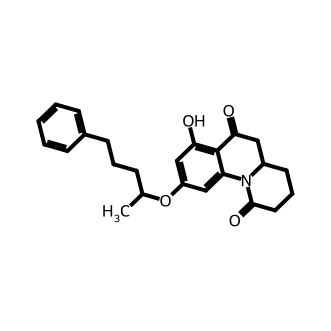 CC(CCCc1ccccc1)Oc1cc(O)c2c(c1)N1C(=O)CCCC1CC2=O